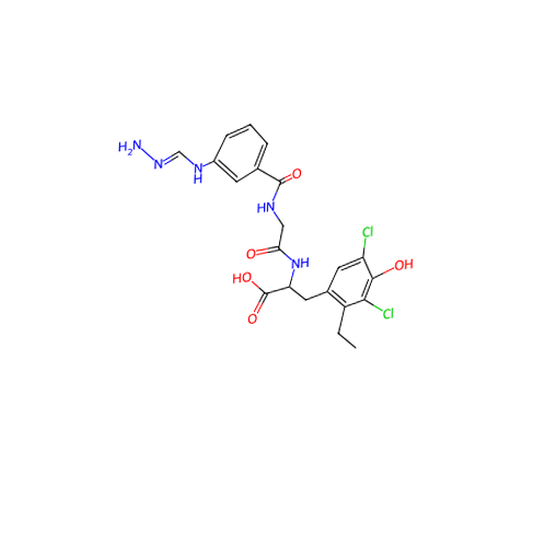 CCc1c(CC(NC(=O)CNC(=O)c2cccc(NC=NN)c2)C(=O)O)cc(Cl)c(O)c1Cl